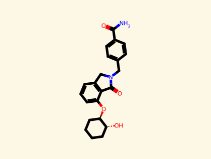 NC(=O)c1ccc(CN2Cc3cccc(O[C@@H]4CCCC[C@H]4O)c3C2=O)cc1